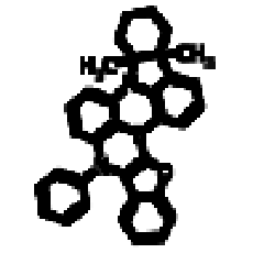 CC12CCCCC1(C)N1c3cccc4c3B(c3cccc2c31)c1oc2ccccc2c1N4c1ccccc1